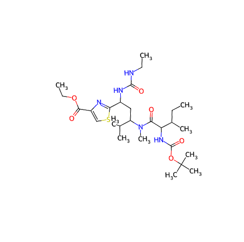 CCNC(=O)NC(CC(C(C)C)N(C)C(=O)C(NC(=O)OC(C)(C)C)C(C)CC)c1nc(C(=O)OCC)cs1